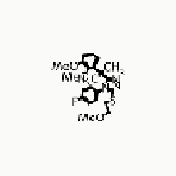 COCCSc1nnc(C(C)(C)c2cccc(OC)c2OC)n1-c1ccc(F)cc1